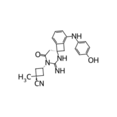 C[C@]1(C#N)C[C@H](N2C(=N)N[C@]3(CC2=O)Cc2c(Nc4ccc(O)cc4)cccc23)C1